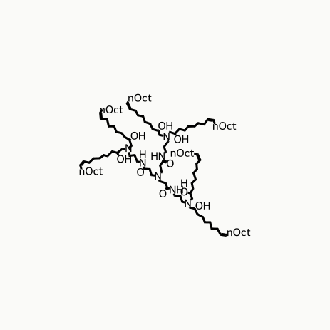 CCCCCCCC/C=C\CCCCCCC(O)CN(CCCNC(=O)CCN(CCC(=O)NCCCN(CC(O)CCCCCC/C=C\CCCCCCCC)CC(O)CCCCCC/C=C\CCCCCCCC)CCC(=O)NCCCN(CC(O)CCCCCC/C=C\CCCCCCCC)CC(O)CCCCCC/C=C\CCCCCCCC)CC(O)CCCCCC/C=C\CCCCCCCC